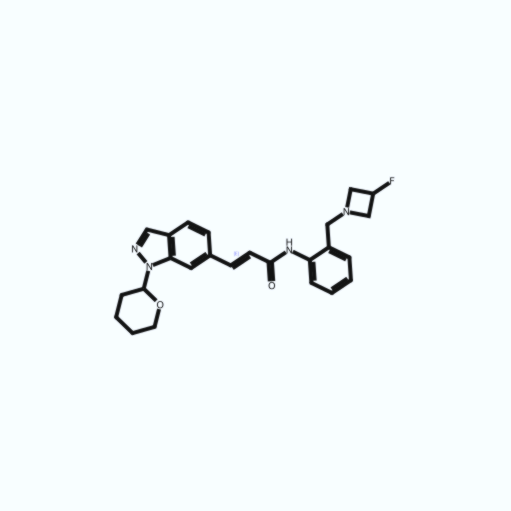 O=C(/C=C/c1ccc2cnn(C3CCCCO3)c2c1)Nc1ccccc1CN1CC(F)C1